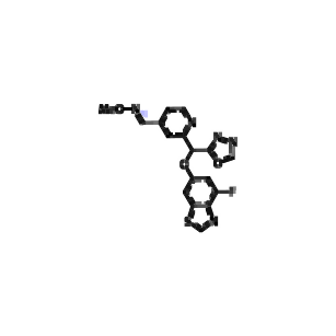 CO/N=C/c1ccnc(C(Oc2cc(F)c3ncsc3c2)c2nnco2)c1